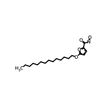 CCCCCCCCCCCCCCOc1ccc(C(=O)N=O)o1